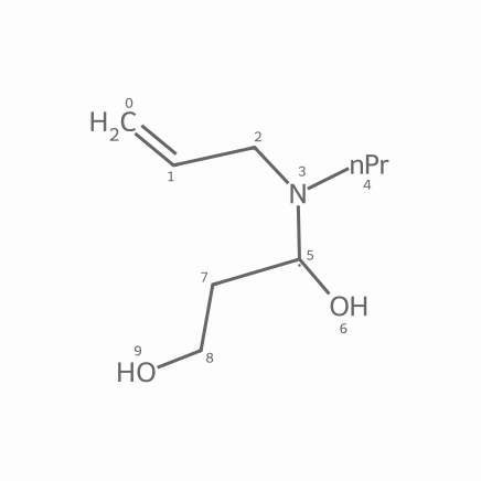 C=CCN(CCC)[C](O)CCO